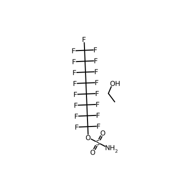 CCO.NS(=O)(=O)OC(F)(F)C(F)(F)C(F)(F)C(F)(F)C(F)(F)C(F)(F)C(F)(F)C(F)(F)F